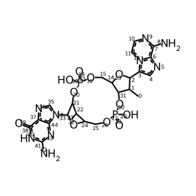 CC1C(c2cnc3c(N)nccn23)OC2COP(=O)(O)OC3C(C)C(COP(=O)(O)OC21)OC3n1cnc2c(=O)[nH]c(N)nc21